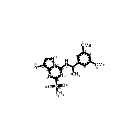 COc1cc(OC)cc(C(C)Nc2nc(S(C)(=O)=O)nc3c(C(C)C)cnn23)c1